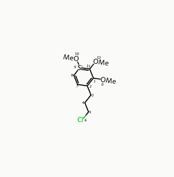 COc1c(CCCCl)cc[si](OC)c1OC